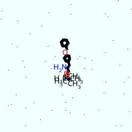 CC(C)(C)[Si](C)(C)OCC(N)Cc1ccc(OCc2ccccc2)cc1